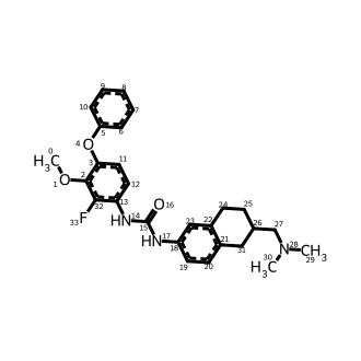 COc1c(Oc2ccccc2)ccc(NC(=O)Nc2ccc3c(c2)CCC(CN(C)C)C3)c1F